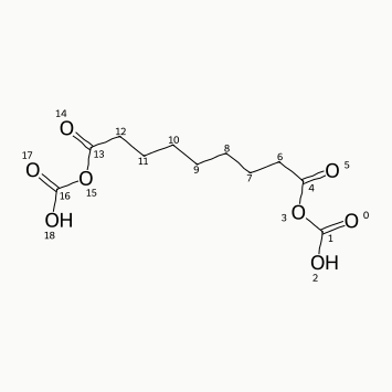 O=C(O)OC(=O)CCCCCCCC(=O)OC(=O)O